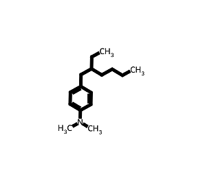 CCCCC(CC)Cc1ccc(N(C)C)cc1